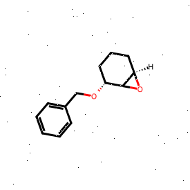 c1ccc(CO[C@@H]2CCC[C@H]3OC23)cc1